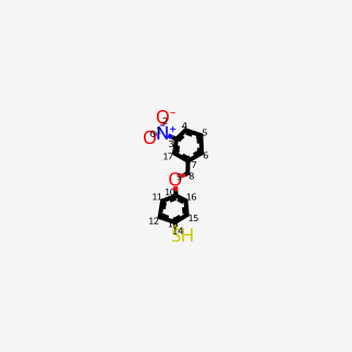 O=[N+]([O-])c1cccc(COc2ccc(S)cc2)c1